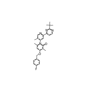 Cc1cnc(-c2ccnc(C(C)(C)C)n2)cc1-n1c(C)cc(OCc2ccc(F)cc2)c(C)c1=O